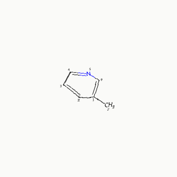 Cc1[c]ccnc1